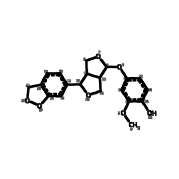 COc1cc(OC2OCC3C(c4ccc5c(c4)OOC5)OCC23)ccc1O